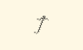 CCCCCCCCCCCCN(CC)C1(C)OO1